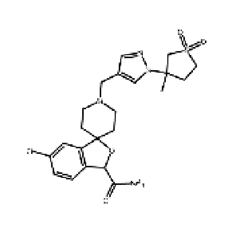 CC1(n2cc(CN3CCC4(CC3)OC(C(N)=O)c3ccc(Cl)cc34)cn2)CCS(=O)(=O)C1